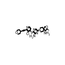 C[C@@H]1OCC2(CCN(c3cnc(Sc4ccnc(C#CC5CCOCC5)c4Cl)c(N)n3)CC2)[C@@H]1N